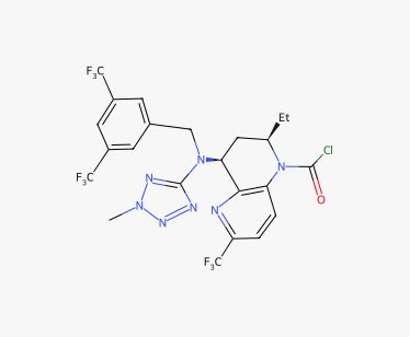 CC[C@@H]1C[C@H](N(Cc2cc(C(F)(F)F)cc(C(F)(F)F)c2)c2nnn(C)n2)c2nc(C(F)(F)F)ccc2N1C(=O)Cl